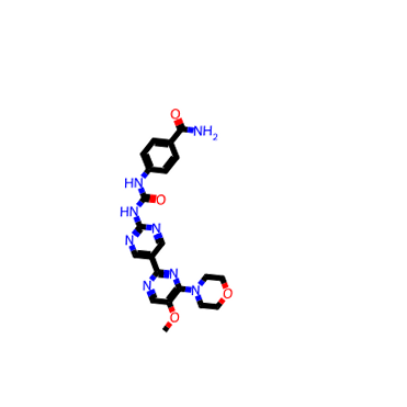 COc1cnc(-c2cnc(NC(=O)Nc3ccc(C(N)=O)cc3)nc2)nc1N1CCOCC1